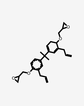 C=CCC1=CC(C(C)(C)c2ccc(OCC3CO3)c(CC=C)c2)=CCC1OCC1CO1